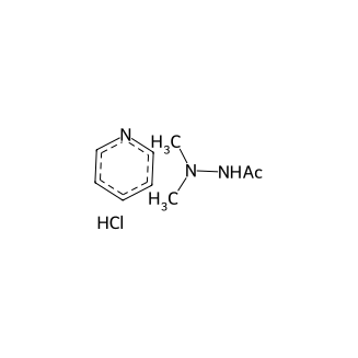 CC(=O)NN(C)C.Cl.c1ccncc1